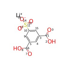 O=C(O)c1cc(C(=O)O)cc(S(=O)(=O)[O-])c1.[Li+]